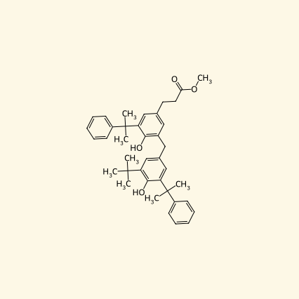 COC(=O)CCc1cc(Cc2cc(C(C)(C)C)c(O)c(C(C)(C)c3ccccc3)c2)c(O)c(C(C)(C)c2ccccc2)c1